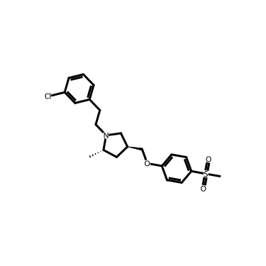 C[C@H]1C[C@H](COc2ccc(S(C)(=O)=O)cc2)CN1CCc1cccc(Cl)c1